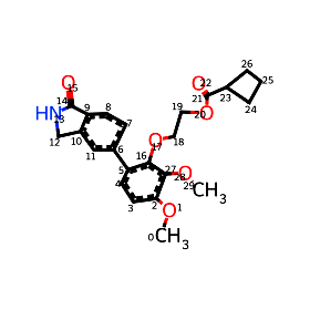 COc1ccc(-c2ccc3c(c2)CNC3=O)c(OCCOC(=O)C2CCC2)c1OC